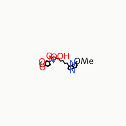 COc1ccc2nccc(CCCC[C@@H](O)[C@H]3CN(c4ccc5c(c4)OCCO5)C(=O)O3)c2n1